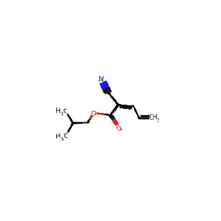 C=CC=C(C#N)C(=O)OCC(C)C